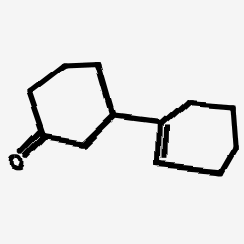 O=C1CCCC(C2=CCCCC2)C1